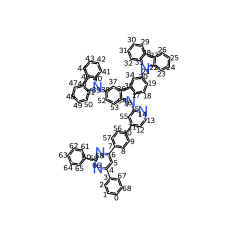 c1ccc(-c2cc(-c3ccc(-c4ccnc(-n5c6ccc(-n7c8ccccc8c8ccccc87)cc6c6cc(-n7c8ccccc8c8ccccc87)ccc65)c4)cc3)nc(-c3ccccc3)n2)cc1